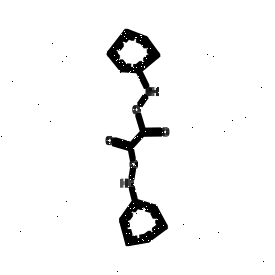 O=C(OBc1ccccc1)C(=O)OBc1ccccc1